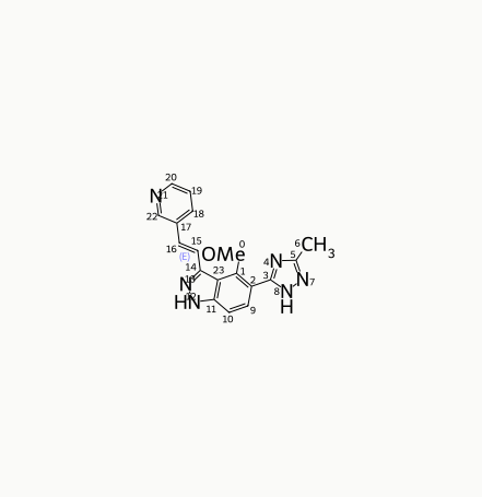 COc1c(-c2nc(C)n[nH]2)ccc2[nH]nc(/C=C/c3cccnc3)c12